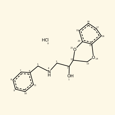 Cl.OC(CNCc1ccccc1)C1COc2ccccc2O1